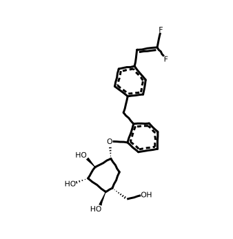 OC[C@H]1C[C@@H](Oc2ccccc2Cc2ccc(C=C(F)F)cc2)[C@H](O)[C@@H](O)[C@@H]1O